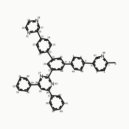 Cc1ccc(-c2ccc(-c3cc(-c4ccc(-c5cnccn5)cc4)cc(-c4nc(-c5ccccc5)cc(-c5ccccc5)n4)c3)cc2)cn1